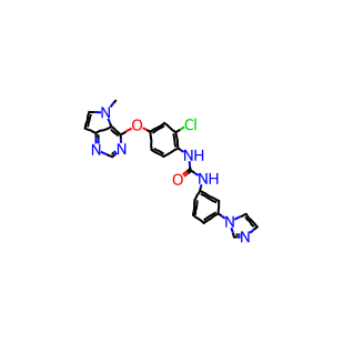 Cn1ccc2ncnc(Oc3ccc(NC(=O)Nc4cccc(-n5ccnc5)c4)c(Cl)c3)c21